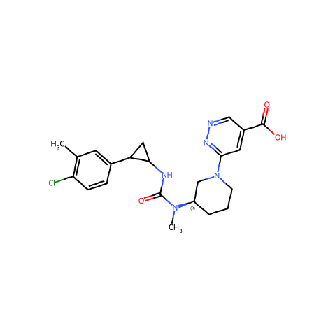 Cc1cc(C2CC2NC(=O)N(C)[C@@H]2CCCN(c3cc(C(=O)O)cnn3)C2)ccc1Cl